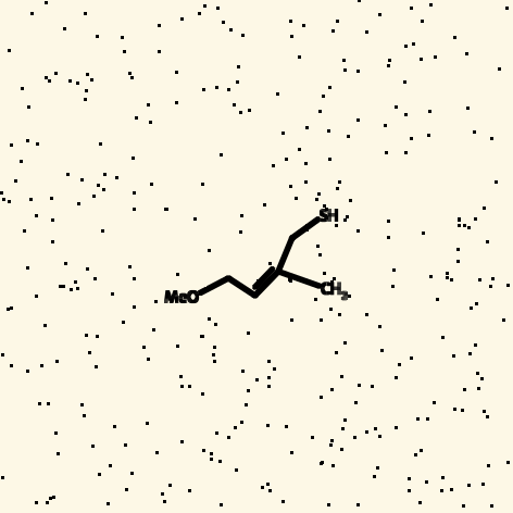 COCC=C(C)CS